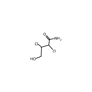 NC(=O)C(Cl)C(Cl)CO